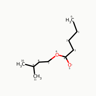 CCCCC([O])OCCC(C)C